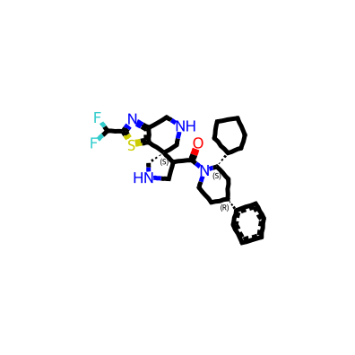 O=C(C1CNC[C@]12CNCc1nc(C(F)F)sc12)N1CC[C@@H](c2ccccc2)C[C@H]1C1CCCCC1